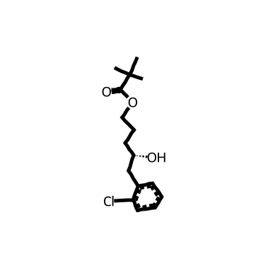 CC(C)(C)C(=O)OCCC[C@H](O)Cc1ccccc1Cl